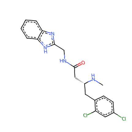 CN[C@@H](CC(=O)NCc1nc2ccccc2[nH]1)Cc1ccc(Cl)cc1Cl